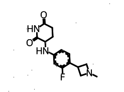 CN1CC(c2ccc(NC3CCC(=O)NC3=O)cc2F)C1